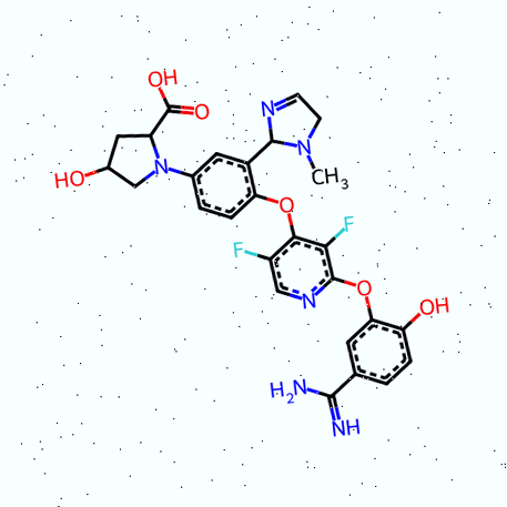 CN1CC=NC1c1cc(N2CC(O)CC2C(=O)O)ccc1Oc1c(F)cnc(Oc2cc(C(=N)N)ccc2O)c1F